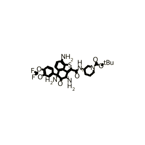 CC(C)(C)OC(=O)N1CCC[C@@H](NC(=O)c2sc3c(N)ccc4c3c2[C@@H](N)C(=O)[C@@]4(N)c2ccc3c(c2)OC(F)(F)O3)C1